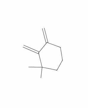 C=C1CCCC(C)(C)C1=C